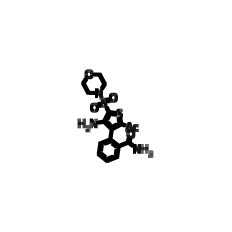 CC(=O)c1sc(S(=O)(=O)N2CCOCC2)c(N)c1-c1ccccc1C(N)=O